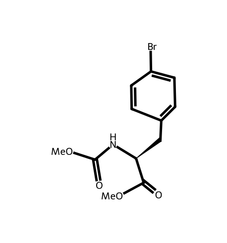 COC(=O)N[C@@H](Cc1ccc(Br)cc1)C(=O)OC